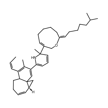 C/C=C\C1=C(C)C(C2=CC=CC(C)(/C3=C/CCCC/C(=C\CCCCC(C)C)OC3)N2)=CC23C[C@@H]2C=CCCC13